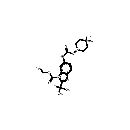 CCOC(=O)n1c(C(C)(C)C)nc2ccc(NC(=O)SN3CC[N+](C)([O-])CC3)cc21